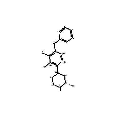 Cc1c(Cc2ccccc2)nnc(N2CCN[C@@H](C)C2)c1C